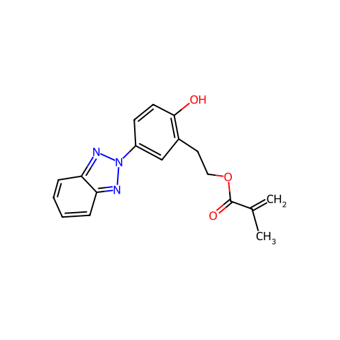 C=C(C)C(=O)OCCc1cc(-n2nc3ccccc3n2)ccc1O